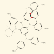 CC(C)(C)c1ccc(N(c2ccc(C(C)(C)C)cc2)c2cc3c4c(c2)N2c5c(cc(C(C)(C)C)cc5C5(C)CCCCC25C)B4c2cc4sc5ccc(C(C)(C)C)cc5c4cc2N3c2ccc(C(C)(C)C)cc2-c2ccccc2)cc1